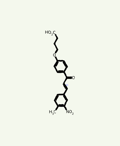 Cc1ccc(/C=C/C(=O)c2ccc(OCCCC(=O)O)cc2)cc1[N+](=O)[O-]